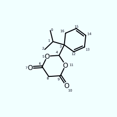 CC(C)C1(C2OC(=O)CC(=O)O2)C=CC=CC1